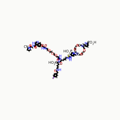 N#C[C@@H]1CCCN1C(=O)CNC(=O)c1ccnc2cc(OCC(=O)NCCOCCOCCOCCC(=O)N[C@@H](CCCCNC(=S)Nc3cc(CN4CCOCCOCCN(Cc5cccc(C(=O)O)n5)CCOCCOCC4)nc(C(=O)O)c3)C(=O)N[C@@H](CCCCNC(=O)Cc3ccc(I)cc3)C(=O)O)ccc12